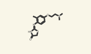 Cc1cc(OCCN(C)C)ccc1/N=C1/NC(=O)CS1